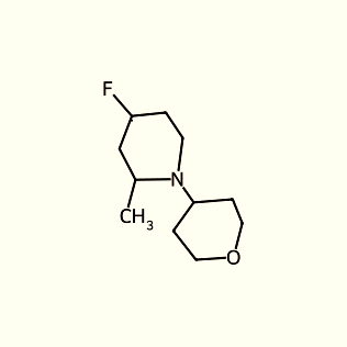 CC1C[C](F)CCN1C1CCOCC1